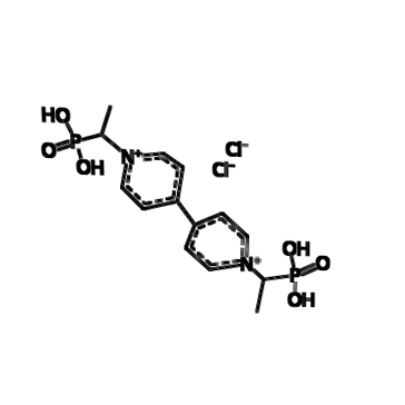 CC([n+]1ccc(-c2cc[n+](C(C)P(=O)(O)O)cc2)cc1)P(=O)(O)O.[Cl-].[Cl-]